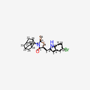 O=C1C(=Cc2cc3cc(Br)ccc3[nH]2)SC(=S)N1C1C2CC3CC(C2)CC1C3